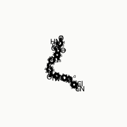 C[C@H]1CC2(CCN(c3ccc(C(=O)N4CCN(CC5CCN(c6cc7c(cc6F)C(=O)N(C6CCC(=O)NC6=O)C7=O)CC5)CC4)nn3)CC2)CN1c1ccc(C#N)c(Cl)c1